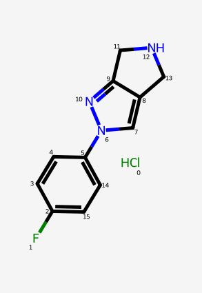 Cl.Fc1ccc(-n2cc3c(n2)CNC3)cc1